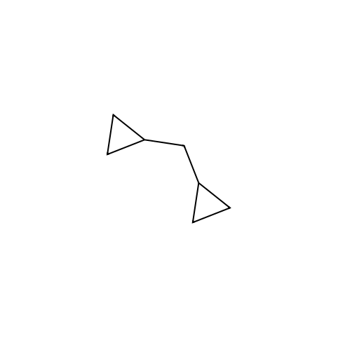 C1CC1CC1CC1